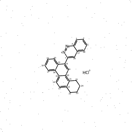 Cl.c1ccc2nnc(-c3cc4c5c(ccc4c4ccccc34)CCCC5)cc2c1